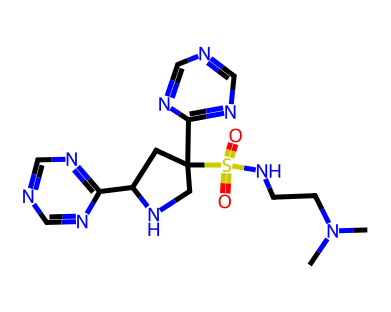 CN(C)CCNS(=O)(=O)C1(c2ncncn2)CNC(c2ncncn2)C1